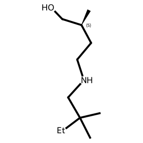 CCC(C)(C)CNCC[C@H](C)CO